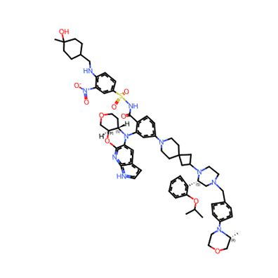 CC(C)Oc1ccccc1[C@H]1CN(Cc2ccc(N3CCOC[C@H]3C)cc2)CCN1C1CC2(CCN(c3ccc(C(=O)NS(=O)(=O)c4ccc(NCC5CCC(C)(O)CC5)c([N+](=O)[O-])c4)c(N4c5cc6cc[nH]c6nc5O[C@H]5COCC[C@@H]54)c3)CC2)C1